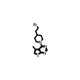 Cc1csc2ncnc(N3CCC(CCBr)CC3)c12